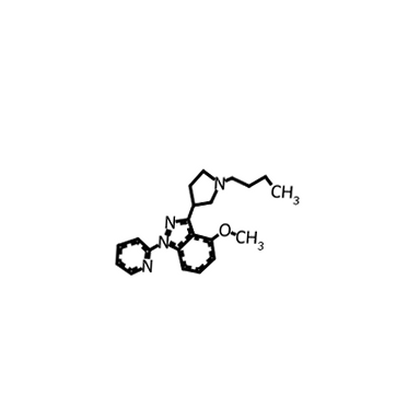 CCCCN1CCC(c2nn(-c3ccccn3)c3cccc(OC)c23)C1